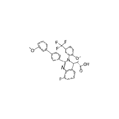 COc1cccc(-c2ccc(C3=Nc4c(F)cccc4C(C(C)C(=O)O)N3c3cc(C(F)(F)F)ccc3OC)cc2)c1